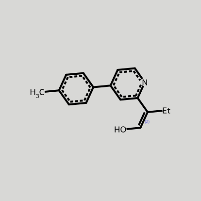 CC/C(=C/O)c1cc(-c2ccc(C)cc2)ccn1